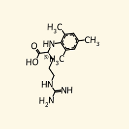 Cc1cc(C)c(N[C@@H](CCCNC(=N)N)C(=O)O)c(C)c1